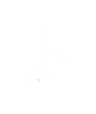 NS(=O)(=O)C[C@@]12CC[C@@H](CC1=O)C2